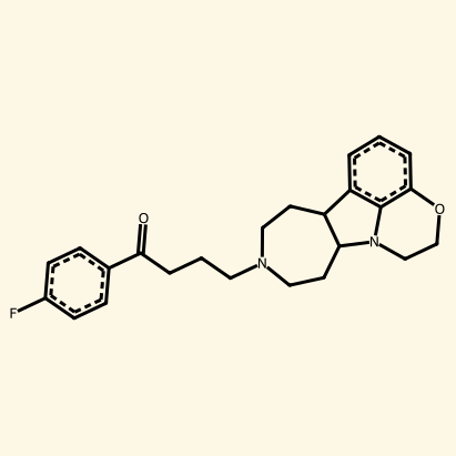 O=C(CCCN1CCC2c3cccc4c3N(CCO4)C2CC1)c1ccc(F)cc1